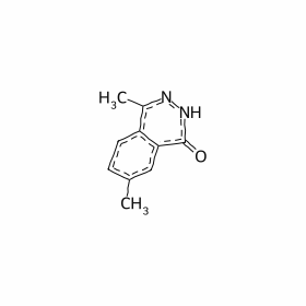 Cc1ccc2c(C)n[nH]c(=O)c2c1